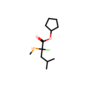 CPC(F)(CC(C)C)C(=O)OC1CCCC1